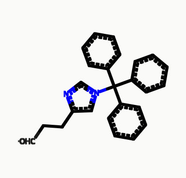 O=[C]CCc1cn(C(c2ccccc2)(c2ccccc2)c2ccccc2)cn1